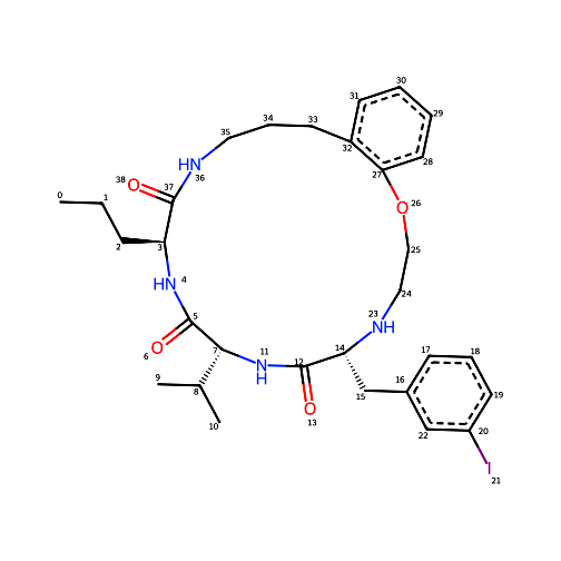 CCC[C@@H]1NC(=O)[C@@H](C(C)C)NC(=O)[C@@H](Cc2cccc(I)c2)NCCOc2ccccc2CCCNC1=O